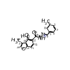 Cc1cccc(/C=N/NC(=O)c2ccc3occ(C)c3c2O)c1